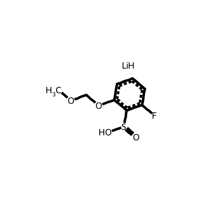 COCOc1cccc(F)c1S(=O)O.[LiH]